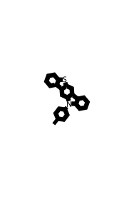 Cc1ccc(-n2c3ccccc3c3cc4sc5ccccc5c4cc32)cc1